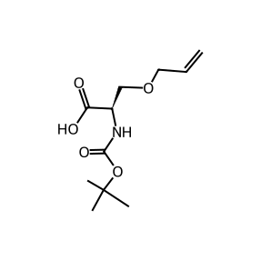 C=CCOC[C@@H](NC(=O)OC(C)(C)C)C(=O)O